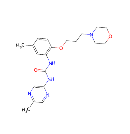 Cc1ccc(OCCCN2CCOCC2)c(NC(=O)Nc2cnc(C)cn2)c1